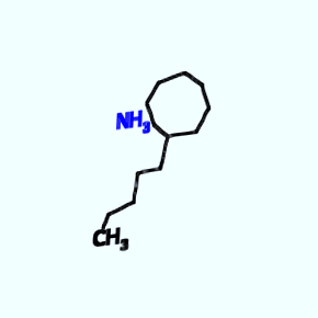 CCCCCC1CCCCCCC1.N